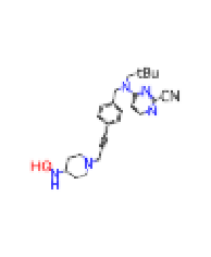 CC(C)(C)CN(Cc1ccc(C#CCN2CCC(NO)CC2)cc1)c1ccnc(C#N)n1